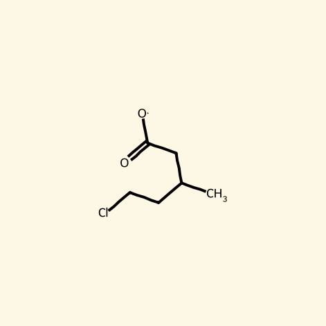 CC(CCCl)CC([O])=O